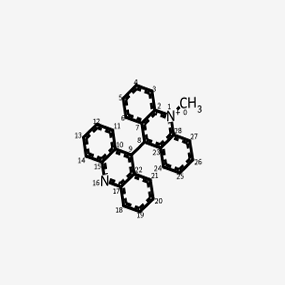 C[n+]1c2ccccc2c(-c2c3ccccc3nc3ccccc23)c2ccccc21